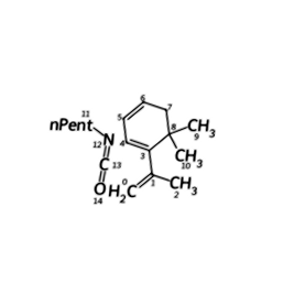 C=C(C)C1=CC=CCC1(C)C.CCCCCN=C=O